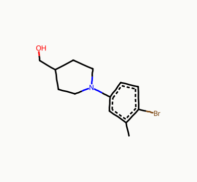 Cc1cc(N2CCC(CO)CC2)ccc1Br